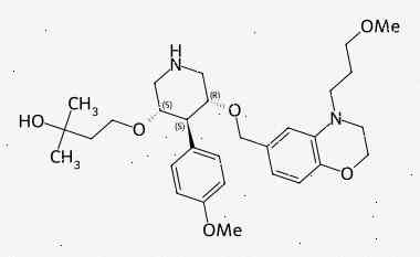 COCCCN1CCOc2ccc(CO[C@H]3CNC[C@@H](OCCC(C)(C)O)[C@@H]3c3ccc(OC)cc3)cc21